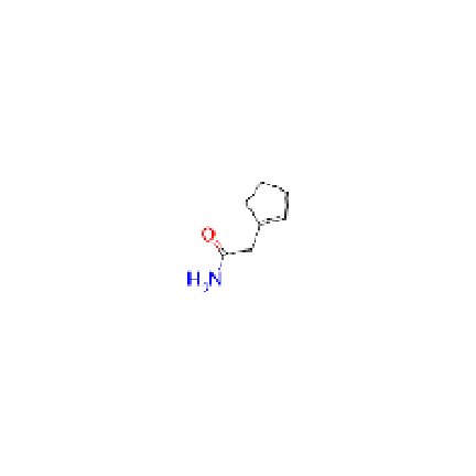 NC(=O)CC1=CCCC1